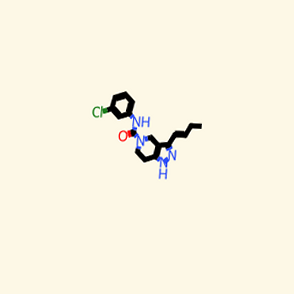 CCC=Cc1n[nH]c2c1CN(C(=O)Nc1cccc(Cl)c1)CC2